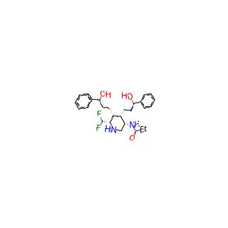 CCC(=O)N[C@@H]1CN[C@H](C(F)F)[C@H](CCC(O)c2ccccc2)[C@@H]1CCC(O)c1ccccc1